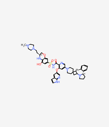 CC(C)c1ccccc1[C@@H]1CCCN1C1CC2(CCN(c3cnc(C(=O)NS(=O)(=O)c4cc(O)c5c(c4)OC[C@H](CCN4CCN(C)CC4)N5)c(Oc4cnc5[nH]ccc5c4)c3)CC2)C1